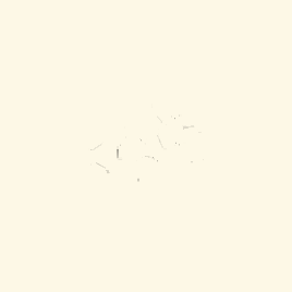 Cn1c(C(O)c2ccccc2)nc2c1c(=O)[nH]c(=O)n2C